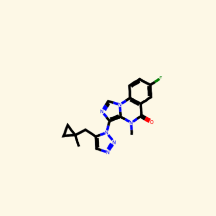 Cn1c(=O)c2cc(F)ccc2n2cnc(-n3nncc3CC3(C)CC3)c12